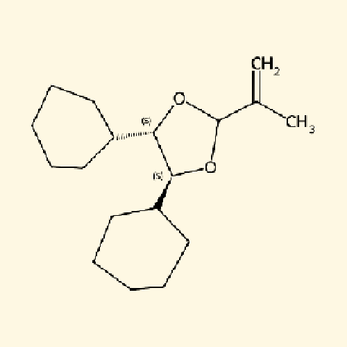 C=C(C)C1O[C@@H](C2CCCCC2)[C@H](C2CCCCC2)O1